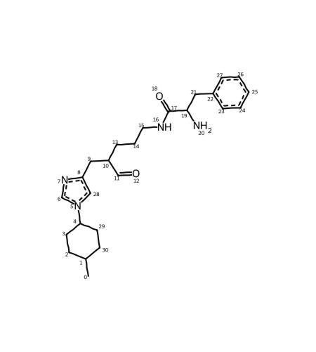 CC1CCC(n2cnc(CC(C=O)CCCNC(=O)C(N)Cc3ccccc3)c2)CC1